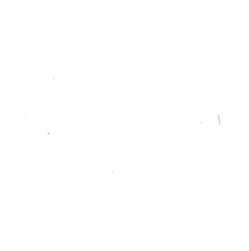 CC1C=Cc2ccc3c(c2=C1)=CCC1=CCCC=C13